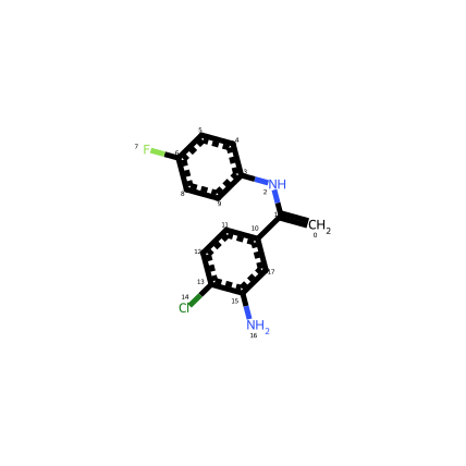 C=C(Nc1ccc(F)cc1)c1ccc(Cl)c(N)c1